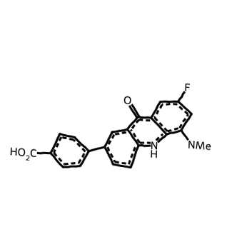 CNc1cc(F)cc2c(=O)c3cc(-c4ccc(C(=O)O)cc4)ccc3[nH]c12